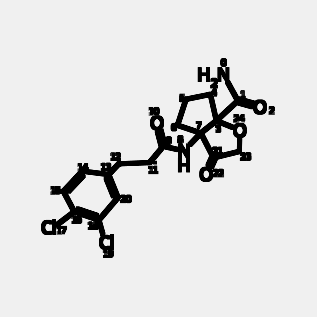 NC(=O)C12CCCC1(NC(=O)[CH]Cc1ccc(Cl)c(Cl)c1)C(=O)CO2